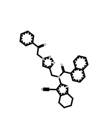 N#Cc1c(N(Cc2cn(CC(=O)c3ccccc3)nn2)C(=O)c2cccc3ccccc23)sc2c1CCCC2